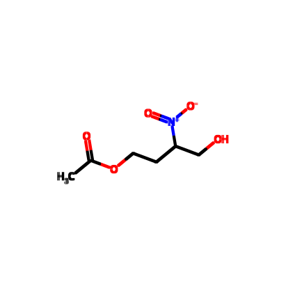 CC(=O)OCCC(CO)[N+](=O)[O-]